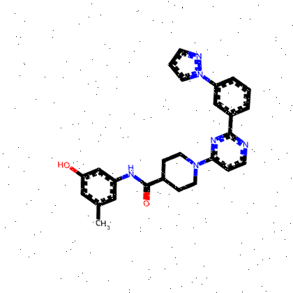 Cc1cc(O)cc(NC(=O)C2CCN(c3ccnc(-c4cccc(-n5cccn5)c4)n3)CC2)c1